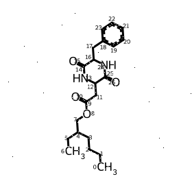 CCCCC(CC)COC(=O)CC1NC(=O)C(Cc2ccccc2)NC1=O